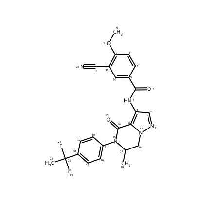 COc1ccc(C(=O)Nc2cnn3c2C(=O)N(c2ccc(C(C)(F)F)cc2)C(C)C3)cc1C#N